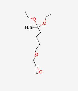 CCOC([SiH3])(CCCCOCC1CO1)OCC